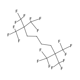 FC(F)(F)C(CCCCC(C(F)(F)F)(C(F)(F)F)C(F)(F)F)(C(F)(F)F)C(F)(F)F